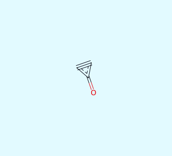 O=c1c#c1